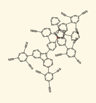 N#Cc1cc(C#N)c(-c2ccc3c(c2)c2cc(-c4c(C#N)cc(C#N)cc4C#N)ccc2n3-c2ccc(-c3nc(-c4ccccc4)nc(-c4ccccc4)n3)c(-c3cc(C#N)ccc3-n3c4ccc(-c5c(C#N)cc(C#N)cc5C#N)cc4c4cc(-c5c(C#N)cc(C#N)cc5C#N)ccc43)c2)c(C#N)c1